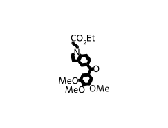 CCOC(=O)CCn1ccc2cc(C(=O)c3cc(OC)c(OC)c(OC)c3)ccc21